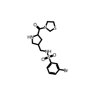 O=C(C1CC(CNS(=O)(=O)c2cccc(Br)c2)CN1)N1CCSC1